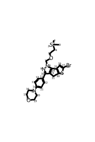 C[Si](C)(C)CCOCn1nc(-c2ccc(N3CCOCC3)cc2)c2c1-c1cc(Br)sc1C2